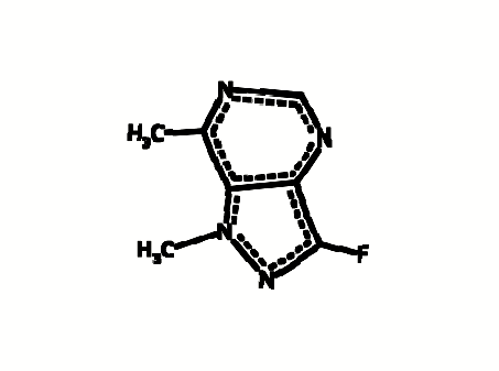 Cc1ncnc2c(F)nn(C)c12